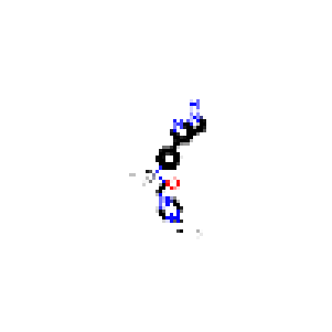 CN1CCN(CC(=O)N(C)c2ccc(-c3cnc4[nH]ccc4c3)cc2)CC1